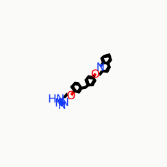 c1cc(Cc2ccc(OCc3ccc4ccccc4n3)cc2)cc(OCc2nnn[nH]2)c1